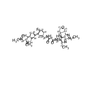 CCc1nc2c(cnn2CC)c(NC2CCOCC2)c1CNC(=O)CC(=O)NCc1ccc(F)c(-c2cccc(CN(C)CCN(C)C)c2)c1